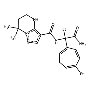 CCC1=CCC=C(C(CC)(NC(=O)c2cnn3c2NCCC3(C)C)C(N)=O)C=C1